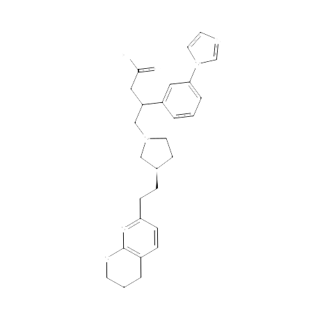 O=C(O)CC(CN1CC[C@@H](CCc2ccc3c(n2)NCCC3)C1)c1cccc(-n2ccnc2)c1